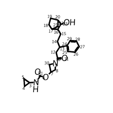 O=C(NC1CC1)OC1CN(C(=O)CC(CCC2C3CCC(C3)C2O)c2ccccc2)C1